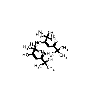 CC(C)(C)C(=O)/C=C(/O)C(C)(C)C.CC(C)(C)C(=O)/C=C(/O)C(C)(C)C.[Ni]